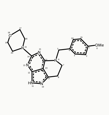 COc1ccc(CN2CCc3n[nH]c4nc(N5CCOCC5)nc2c34)cc1